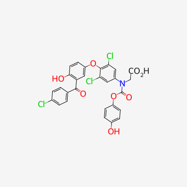 O=C(O)CN(C(=O)Oc1ccc(O)cc1)c1cc(Cl)c(Oc2ccc(O)c(C(=O)c3ccc(Cl)cc3)c2)c(Cl)c1